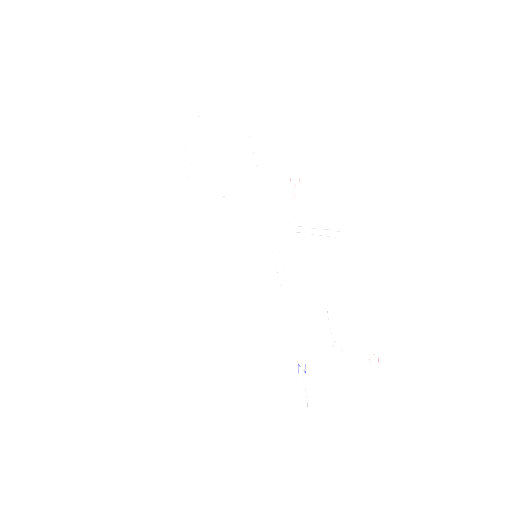 Cc1ccc(Oc2ccc(C(=O)N(C)C)cc2)cc1